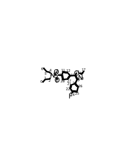 CCCN(CCC)S(=O)(=O)c1ccc(-c2oc(C)nc2-c2ccc(F)cc2)cc1